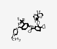 CCN1CCN(Cc2ccc(NC(=O)c3ccc(Cl)c(Oc4ncnc5c4OCCN5)c3)cc2C(F)(F)F)CC1